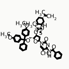 C=C(C)[C@H]1CC[C@@]2(C)S[P@@](=S)(O[C@H]3C[C@H](n4cc(C)c(NC(=O)c5ccccc5)nc4=O)O[C@@H]3COC(c3ccccc3)(c3ccc(OC)cc3)c3ccc(OC)cc3)O[C@@H]2C1